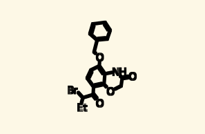 CCC(Br)C(=O)c1ccc(OCc2ccccc2)c2c1OCC(=O)N2